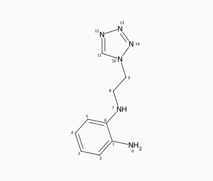 Nc1ccccc1NCCn1cnnn1